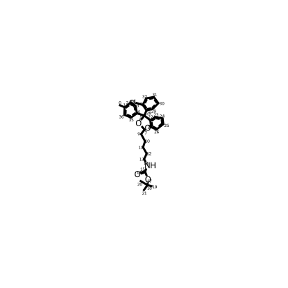 Cc1ccc(C(OC(=O)CCCCCNC(=O)OC(C)(C)C)(c2ccccc2)c2ccccc2Cl)cc1